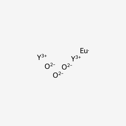 [Eu].[O-2].[O-2].[O-2].[Y+3].[Y+3]